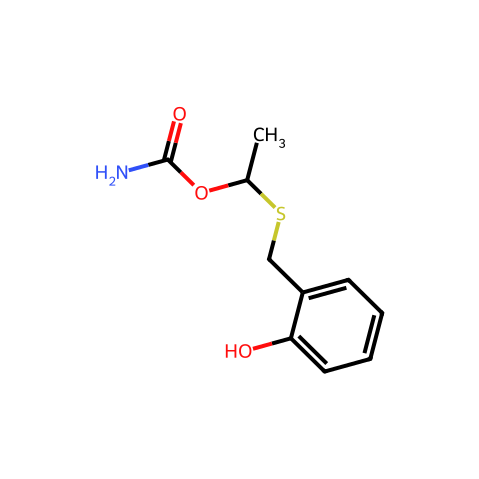 CC(OC(N)=O)SCc1ccccc1O